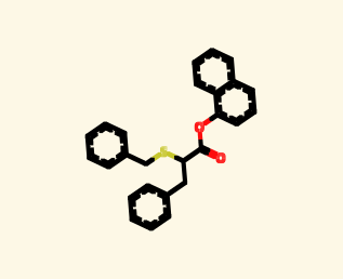 O=C(Oc1cccc2ccccc12)C(Cc1ccccc1)SCc1ccccc1